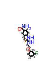 NC(=O)c1ccc(NC(=S)NCCOc2cccc(F)c2)cc1